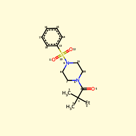 CCC(C)(C)C(=O)N1CCN(S(=O)(=O)c2ccccc2)CC1